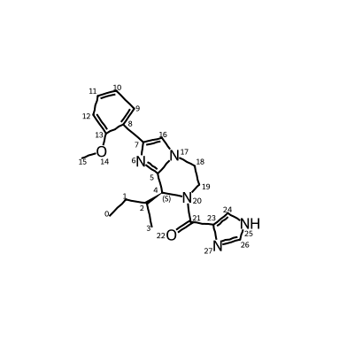 CCC(C)[C@H]1c2nc(-c3ccccc3OC)cn2CCN1C(=O)c1c[nH]cn1